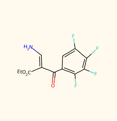 CCOC(=O)C(=CN)C(=O)c1cc(F)c(F)c(F)c1F